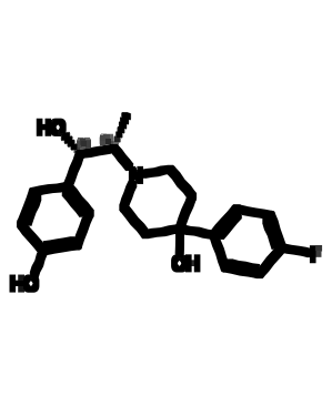 C[C@@H]([C@@H](O)c1ccc(O)cc1)N1CCC(O)(c2ccc(F)cc2)CC1